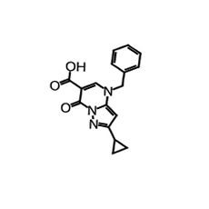 O=C(O)c1cn(Cc2ccccc2)c2cc(C3CC3)nn2c1=O